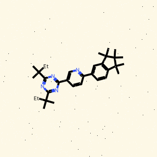 CCC(C)(C)c1nc(-c2ccc(-c3ccc4c(c3)C(C)(C)C(C)(C)C4(C)C)nc2)nc(C(C)(C)CC)n1